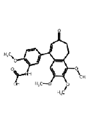 COc1ccc(C2=CC(=O)CCc3c2cc(OC)c(OC)c3OC)cc1NC(=O)O